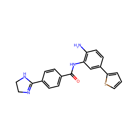 Nc1ccc(-c2cccs2)cc1NC(=O)c1ccc(C2=NCCN2)cc1